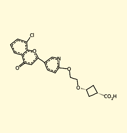 O=c1cc(-c2ccc(OCCO[C@H]3C[C@@H](C(=O)O)C3)nc2)oc2c(Cl)cccc12